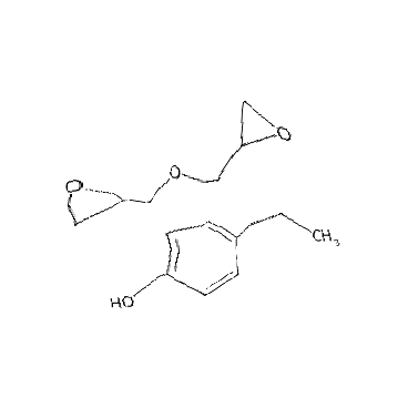 C(OCC1CO1)C1CO1.CCc1ccc(O)cc1